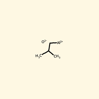 CC(C)[CH2][Al+2].[O-2]